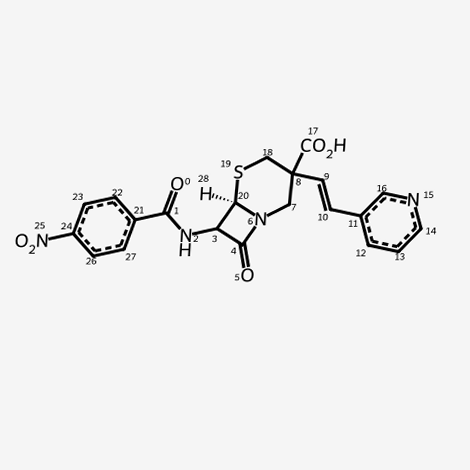 O=C(NC1C(=O)N2CC(C=Cc3cccnc3)(C(=O)O)CS[C@H]12)c1ccc([N+](=O)[O-])cc1